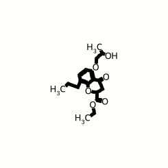 CCCc1ccc(OCC(C)O)c2c1OC(C(=O)OCC)CC2=O